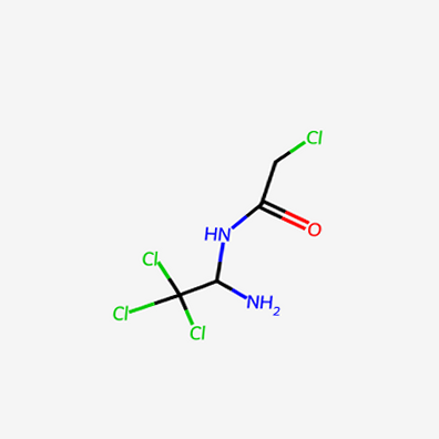 NC(NC(=O)CCl)C(Cl)(Cl)Cl